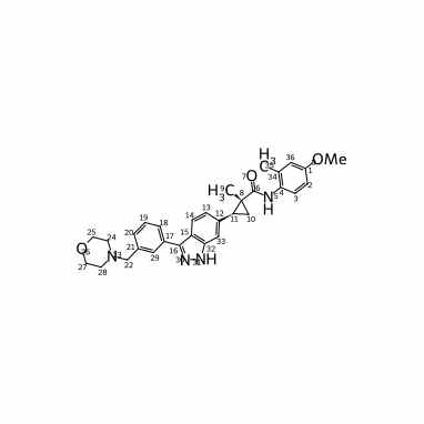 COc1ccc(NC(=O)[C@]2(C)C[C@H]2c2ccc3c(-c4cccc(CN5CCOCC5)c4)n[nH]c3c2)c(C)c1